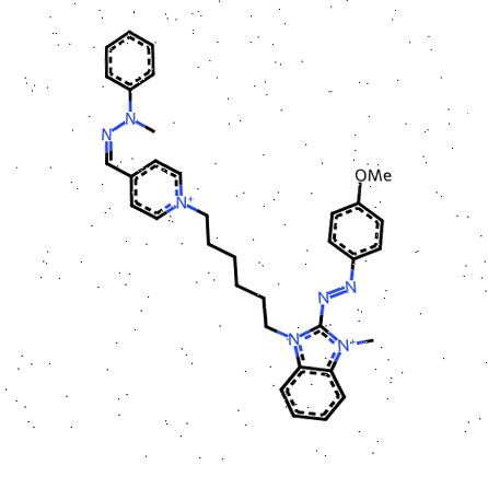 COc1ccc(/N=N/c2n(CCCCCC[n+]3ccc(/C=N\N(C)c4ccccc4)cc3)c3ccccc3[n+]2C)cc1